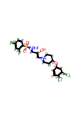 O=S(=O)(NC[C@@H](O)CN1CCC(Oc2ccc(Cl)c(Cl)c2)CC1)c1ccc(F)cc1F